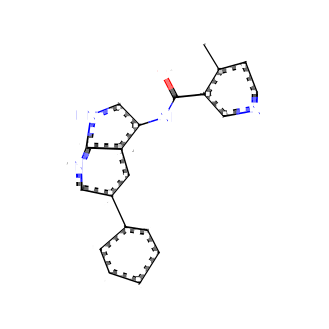 Cc1ccncc1C(=O)Nc1c[nH]c2ncc(-c3ccccc3)cc12